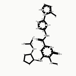 COc1c(N[C@H]2CCC[C@H]2OC(F)F)cc(C(=O)Nc2nnc(-n3nccc3C)s2)oc1=O